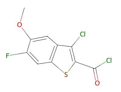 COc1cc2c(Cl)c(C(=O)Cl)sc2cc1F